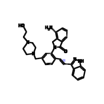 Nc1cccc2c1CN(c1cc(CN3CCN(CCO)CC3)ccc1/C=C/c1n[nH]c3ccccc13)C2=O